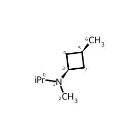 CC(C)N(C)[C@H]1C[C@@H](C)C1